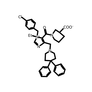 CC[N+]1(Cc2ccc(Cl)cc2)C=NC(CN2CCC(c3ccccc3)(c3ccccc3)CC2)=C1C(=O)N1CCCC(C(=O)[O-])C1